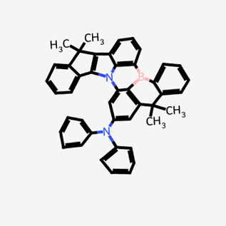 CC1(C)c2ccccc2B2c3c(cc(N(c4ccccc4)c4ccccc4)cc31)-n1c3c(c4cccc2c41)C(C)(C)c1ccccc1-3